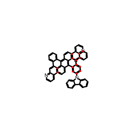 c1ccc(N(c2ccc(-n3c4ccccc4c4ccccc43)cc2)c2cccc3c(-c4ccccc4-c4ccc5cccnc5c4)c4ccccc4c(-c4ccccc4-c4ccc5cccnc5c4)c23)cc1